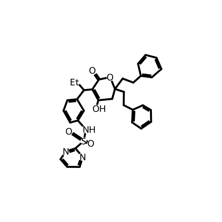 CCC(C1=C(O)CC(CCc2ccccc2)(CCc2ccccc2)OC1=O)c1cccc(NS(=O)(=O)c2ncccn2)c1